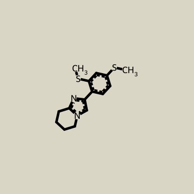 CSc1ccc(-c2cn3c(n2)CCCC3)c(SC)c1